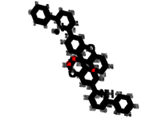 CN1C(C2=CCCC=C2)CC=CC1C1C=CC2=C(C1)OC1=C(CCC=C1)C21c2ccccc2Oc2cc(C3C=CC=C(C4=CC=CCC4)N3)ccc21